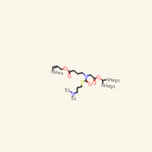 CCCCCC/C=C\COC(=O)CCCN(CC(=O)OC(CCCCCCC)CCCCCCC)C(=O)SCCCN(CC)CC